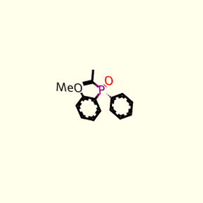 C=C(C)[P@](=O)(c1ccccc1)c1ccccc1OC